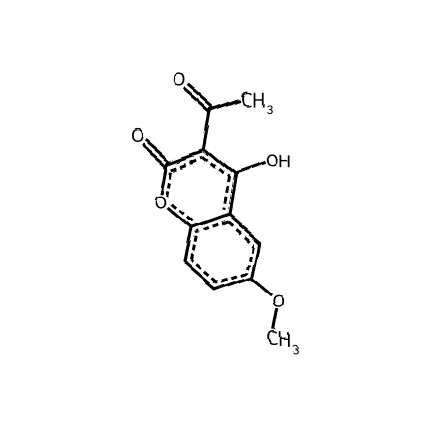 COc1ccc2oc(=O)c(C(C)=O)c(O)c2c1